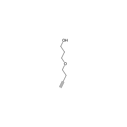 C#CCCOCCCO